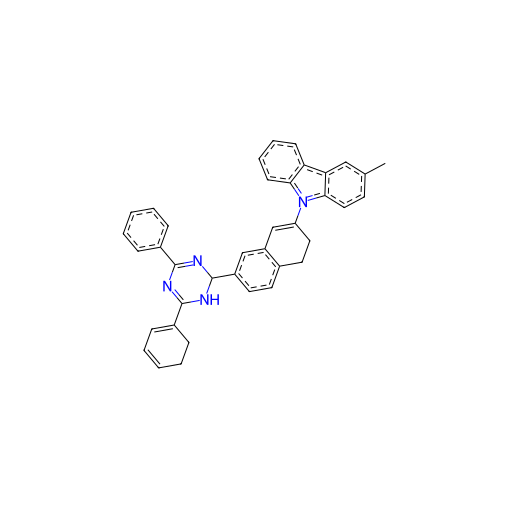 Cc1ccc2c(c1)c1ccccc1n2C1=Cc2cc(C3N=C(c4ccccc4)N=C(C4=CC=CCC4)N3)ccc2CC1